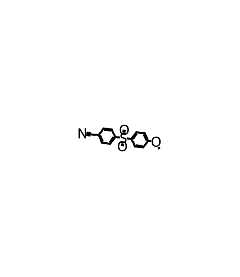 COc1ccc(S(=O)(=O)c2ccc(C#N)cc2)cc1